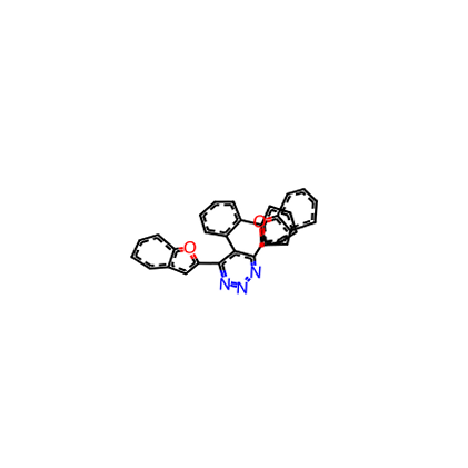 c1ccc(-c2ccccc2-c2c(-c3cc4ccccc4o3)nnnc2-c2cc3ccccc3o2)cc1